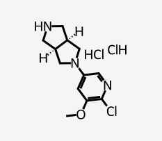 COc1cc(N2C[C@H]3CNC[C@H]3C2)cnc1Cl.Cl.Cl